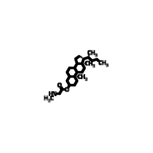 CCC[C@@H](C)[C@H]1CCC2C3CCC4CC(OC(=O)CNC)CC[C@]4(C)C3CC[C@@]21C